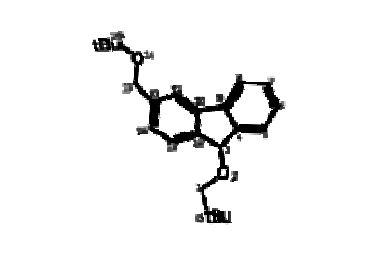 CC(C)(C)COC1c2ccccc2-c2cc(COC(C)(C)C)ccc21